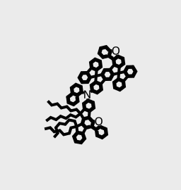 CCCCCCCC1(CCCCCCC)c2cc(N(c3ccc4c(c3)C3(c5ccccc5-c5ccccc53)c3cc5c(cc3-4)C3(c4ccccc4-c4ccccc43)c3ccc4oc6ccccc6c4c3-5)c3cccc4ccccc34)ccc2-c2c1c1c(c3c2oc2ccccc23)-c2ccccc2C1(CCCCCCC)CCCCCCC